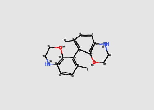 Cc1ccc2c(c1-c1c(C)ccc3c1OCCN3)OCCN2